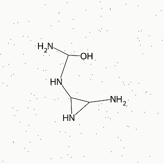 NC(O)NC1NC1N